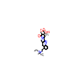 CC[C@@]1(O)C(=O)OCc2c1cc1n(c2=O)Cc2cc3c(CCN(C(C)=O)C(C)C)cccc3nc2-1